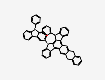 c1ccc(-n2c3ccccc3c3cc(-n4c5ccccc5c5c6cc7c(cc6c6c8ccccc8n(-c8ccccc8)c6c54)Cc4ccccc4C7)ccc32)cc1